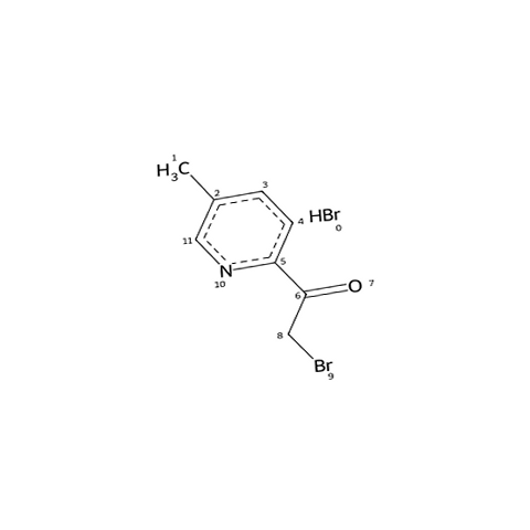 Br.Cc1ccc(C(=O)CBr)nc1